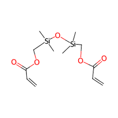 C=CC(=O)OC[Si](C)(C)O[Si](C)(C)COC(=O)C=C